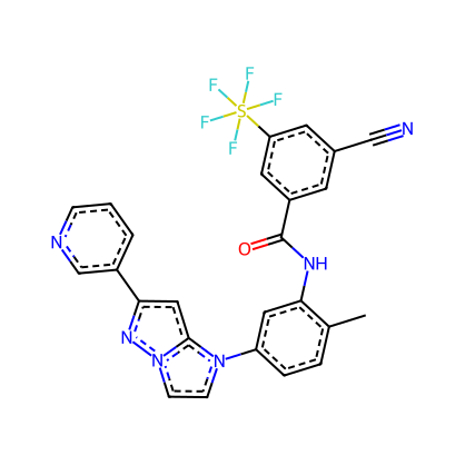 Cc1ccc(-n2ccn3nc(-c4cccnc4)cc23)cc1NC(=O)c1cc(C#N)cc(S(F)(F)(F)(F)F)c1